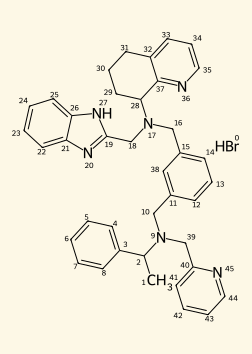 Br.CC(c1ccccc1)N(Cc1cccc(CN(Cc2nc3ccccc3[nH]2)C2CCCc3cccnc32)c1)Cc1ccccn1